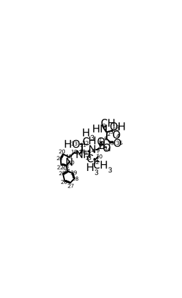 CN[C@@H](C(=O)O)[C@H]1OB([C@H](CC(C)C)NC[C@H](NCc2cccc(-c3ccccc3)n2)[C@@H](C)O)OC1=O